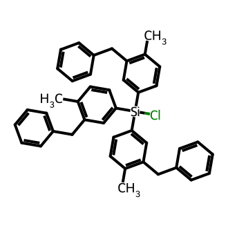 Cc1ccc([Si](Cl)(c2ccc(C)c(Cc3ccccc3)c2)c2ccc(C)c(Cc3ccccc3)c2)cc1Cc1ccccc1